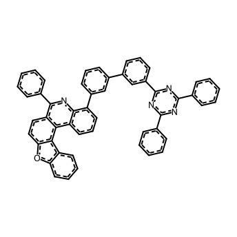 c1ccc(-c2nc(-c3ccccc3)nc(-c3cccc(-c4cccc(-c5cccc6c5nc(-c5ccccc5)c5ccc7oc8ccccc8c7c56)c4)c3)n2)cc1